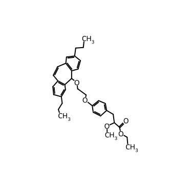 CCCc1ccc2c(c1)C=Cc1ccc(CCC)cc1C2OCCOc1ccc(CC(OC)C(=O)OCC)cc1